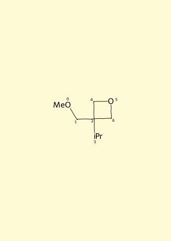 COCC1(C(C)C)COC1